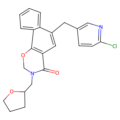 O=C1c2cc(Cc3ccc(Cl)nc3)c3ccccc3c2OCN1CC1CCCO1